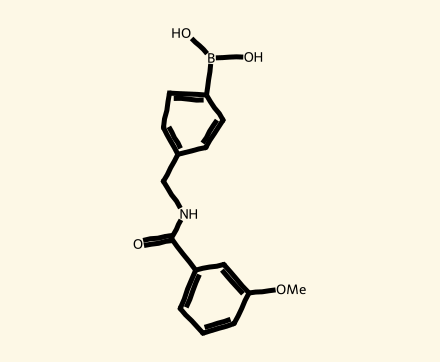 COc1cccc(C(=O)NCc2ccc(B(O)O)cc2)c1